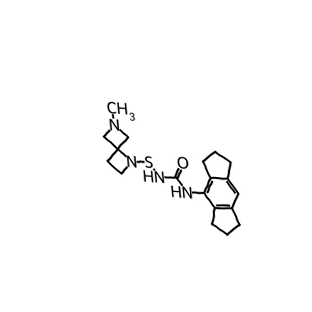 CN1CC2(CCN2SNC(=O)Nc2c3c(cc4c2CCC4)CCC3)C1